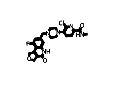 CNC(=O)c1ccc(N2CCN(Cc3cc(F)c4c5c(c(=O)[nH]c4c3)COC5)CC2)c(Cl)n1